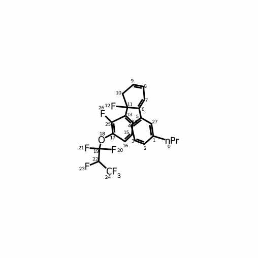 CCCc1cccc(C2=CC=CCC2(F)c2cccc(OC(F)(F)C(F)C(F)(F)F)c2F)c1